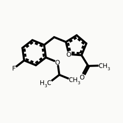 CC(=O)c1ccc(Cc2ccc(F)cc2OC(C)C)o1